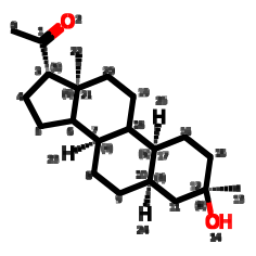 CC(=O)[C@H]1CCC2[C@@H]3CC[C@@H]4C[C@](C)(O)CC[C@@H]4C3CC[C@@]21C